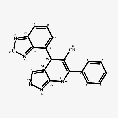 N#CC1=C(c2ccccc2)Nc2n[nH]cc2C1c1cccc2nonc12